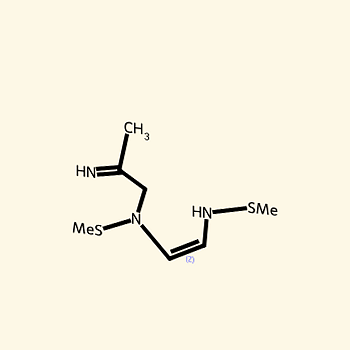 CSN/C=C\N(CC(C)=N)SC